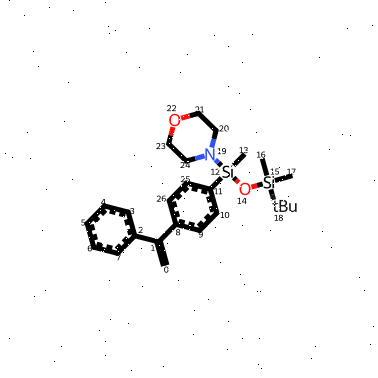 C=C(c1ccccc1)c1ccc([Si](C)(O[Si](C)(C)C(C)(C)C)N2CCOCC2)cc1